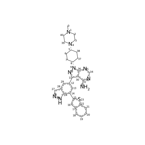 CN1CCN([C@H]2CC[C@@H](n3nc(-c4cc(-c5cc6ccccc6s5)c5[nH]ncc5c4)c4c(N)ncnc43)CC2)CC1